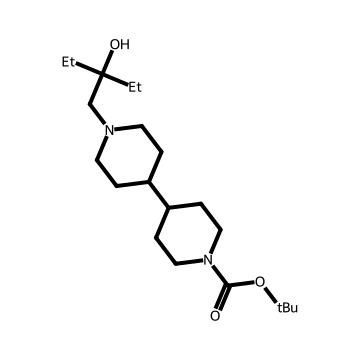 CCC(O)(CC)CN1CCC(C2CCN(C(=O)OC(C)(C)C)CC2)CC1